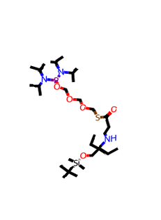 CCC(CC)(CO[Si](C)(C)C(C)(C)C)NCCC(=O)SCOCOCOP(N(C(C)C)C(C)C)N(C(C)C)C(C)C